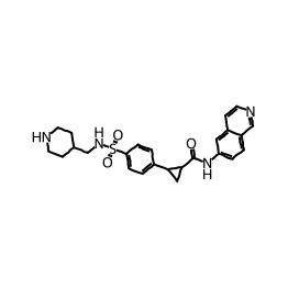 O=C(Nc1ccc2cnccc2c1)C1CC1c1ccc(S(=O)(=O)NCC2CCNCC2)cc1